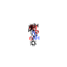 [2H]C[C@]12O[C@@H](n3ccc(NC(=O)c4ccccc4)nc3=O)[C@H](OC1(C)C)[C@@H]2O